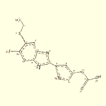 CCSc1cc2nc(-n3cc(OC(=O)O)cn3)[nH]c2cc1F